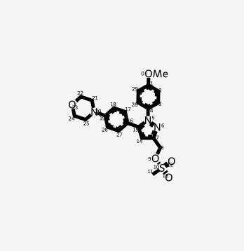 COc1ccc(-n2nc(COS(C)(=O)=O)cc2-c2ccc(N3CCOCC3)cc2)cc1